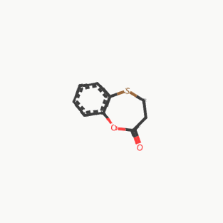 O=C1C[C]Sc2ccccc2O1